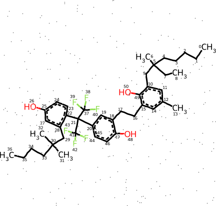 CCCCCC(C)(CC)Cc1cc(C)cc(CCc2cc(C(c3ccc(O)cc3CC(C)(C)CCCC)(C(F)(F)F)C(F)(F)F)ccc2O)c1O